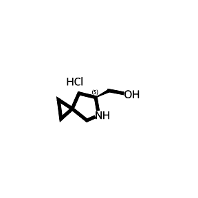 Cl.OC[C@@H]1CC2(CC2)CN1